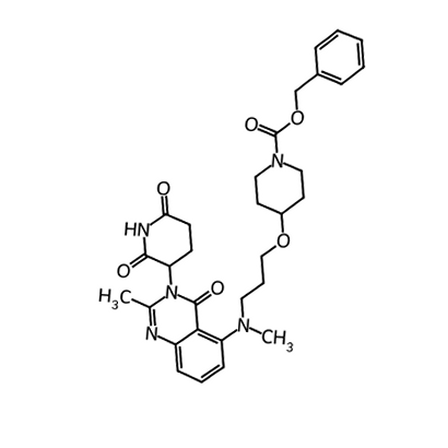 Cc1nc2cccc(N(C)CCCOC3CCN(C(=O)OCc4ccccc4)CC3)c2c(=O)n1C1CCC(=O)NC1=O